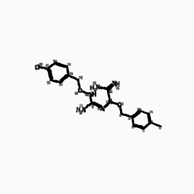 Cc1ccc(CON(N=C(N)NOCc2ccc(Cl)cc2)C(=N)N)cc1